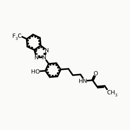 CC=CC(=O)NCCCc1ccc(O)c(-n2nc3ccc(C(F)(F)F)cc3n2)c1